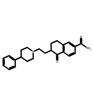 NC(=O)c1ccc2c(c1)CCC(CCN1CCC(c3ccccc3)CC1)C2=O